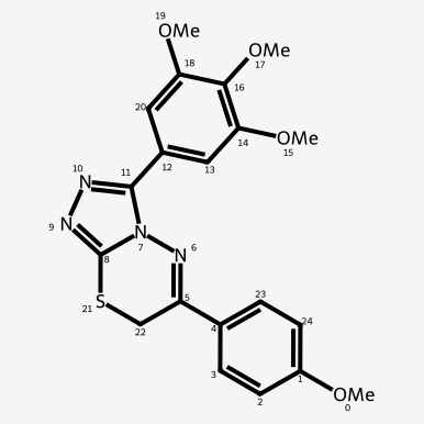 COc1ccc(C2=Nn3c(nnc3-c3cc(OC)c(OC)c(OC)c3)SC2)cc1